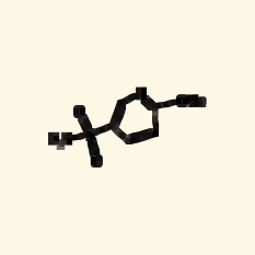 COc1ccc(S(N)(=O)=O)cn1